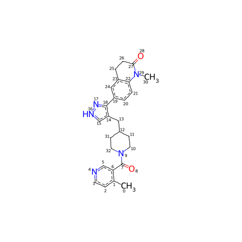 Cc1ccncc1C(=O)N1CCC(Cc2c[nH]nc2-c2ccc3c(c2)CCC(=O)N3C)CC1